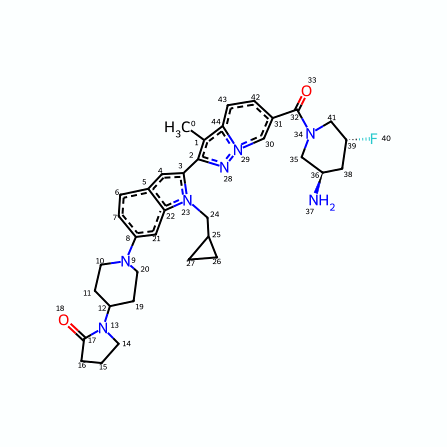 Cc1c(-c2cc3ccc(N4CCC(N5CCCC5=O)CC4)cc3n2CC2CC2)nn2cc(C(=O)N3C[C@H](N)C[C@@H](F)C3)ccc12